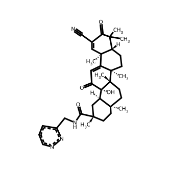 CC1(C)C(=O)C(C#N)=C[C@]2(C)C3=CC(=O)[C@]4(O)[C@@H]5C[C@@](C)(C(=O)NCc6cccnn6)CC[C@]5(C)CC[C@@]4(C)[C@]3(C)CC[C@@H]12